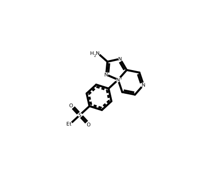 CCS(=O)(=O)c1ccc([N+]23C=CN=CC2=NC(N)=N3)cc1